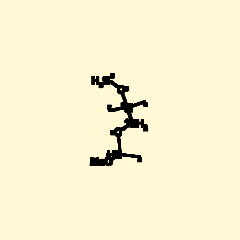 CO[SiH](C)O[SiH2][Si](C)(C)O[SiH3]